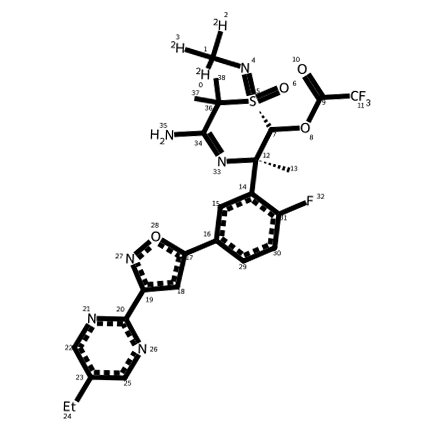 [2H]C([2H])([2H])N=[S@]1(=O)C(OC(=O)C(F)(F)F)[C@@](C)(c2cc(-c3cc(-c4ncc(CC)cn4)no3)ccc2F)N=C(N)C1(C)C